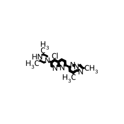 Cc1cn2nc(-c3ccc4c(Cl)c(N5C[C@H](C)N[C@@H](C)C5)cnc4n3)cc(C)c2n1